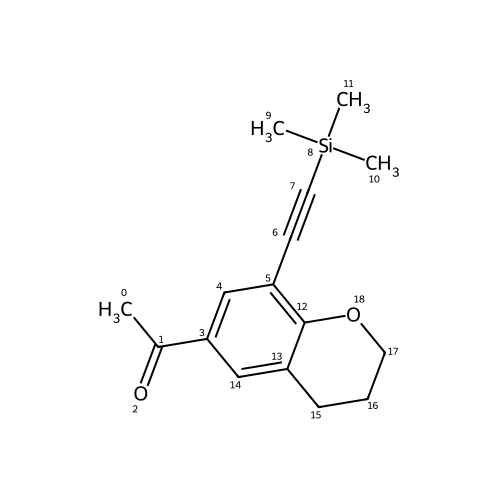 CC(=O)c1cc(C#C[Si](C)(C)C)c2c(c1)CCCO2